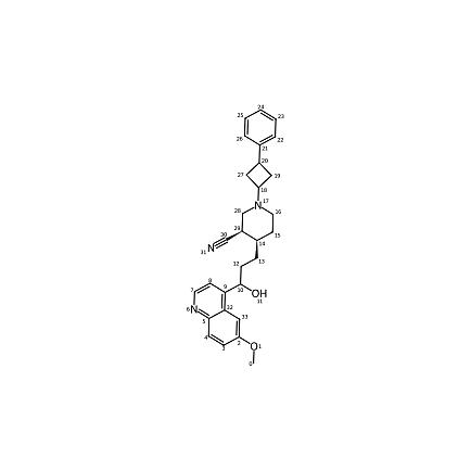 COc1ccc2nccc(C(O)CC[C@@H]3CCN(C4CC(c5ccccc5)C4)C[C@@H]3C#N)c2c1